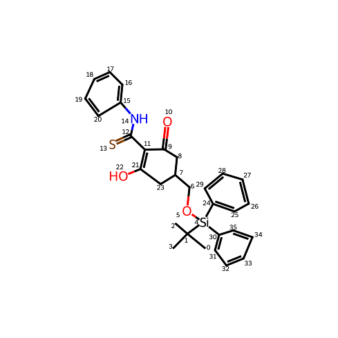 CC(C)(C)[Si](OCC1CC(=O)C(C(=S)Nc2ccccc2)=C(O)C1)(c1ccccc1)c1ccccc1